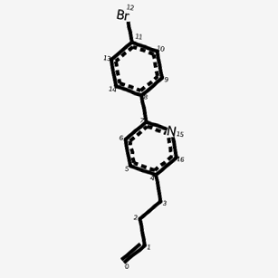 C=CCCc1ccc(-c2ccc(Br)cc2)nc1